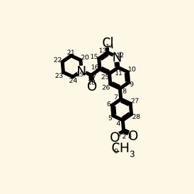 COC(=O)c1ccc(-c2ccc3nc(Cl)cc(C(=O)N4CCCCC4)c3c2)cc1